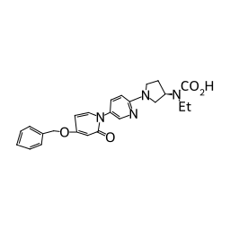 CCN(C(=O)O)[C@@H]1CCN(c2ccc(-n3ccc(OCc4ccccc4)cc3=O)cn2)C1